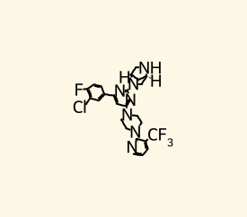 Fc1ccc(-c2cc(N3CCN(c4ncccc4C(F)(F)F)CC3)nc(N3C[C@H]4C[C@@H]3CN4)n2)cc1Cl